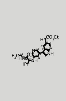 CCOC(=O)Nc1cnc2[nH]cc(-c3cncc(NC(C(=O)NCC(F)(F)F)C(C)C)c3)c2c1